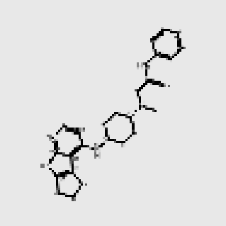 CN(CC(=O)Nc1ccccc1)[C@H]1CC[C@H](Nc2ncnc3sc4c(c23)CCC4)CC1